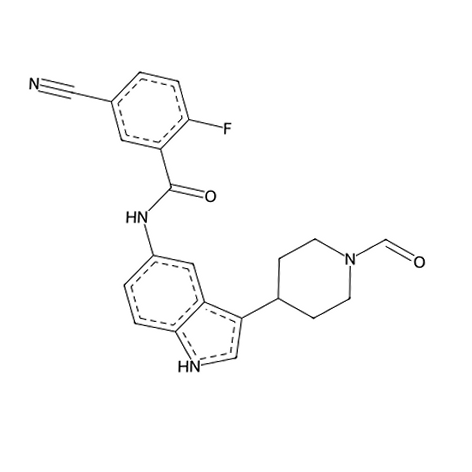 N#Cc1ccc(F)c(C(=O)Nc2ccc3[nH]cc(C4CCN(C=O)CC4)c3c2)c1